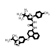 Cc1ccc(-n2nc(C(C)(C)C)cc2NC(=O)NC2CCC(Oc3ccn4c(C(C)C)nnc4c3)c3ccccc32)cc1